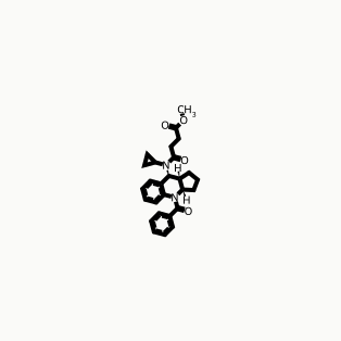 COC(=O)CCC(=O)N(C1CC1)[C@H]1c2ccccc2N(C(=O)c2ccccc2)[C@@H]2CCC[C@@H]21